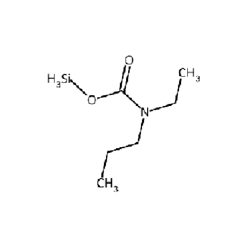 CCCN(CC)C(=O)O[SiH3]